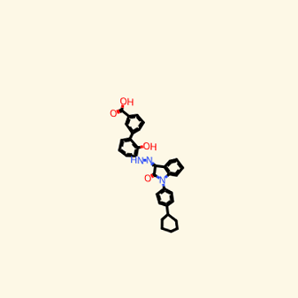 O=C(O)c1cccc(-c2cccc(NN=C3C(=O)N(c4ccc(C5CCCCC5)cc4)c4ccccc43)c2O)c1